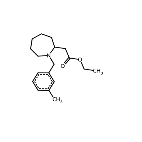 CCOC(=O)CC1CCCCCN1Cc1cccc(C)c1